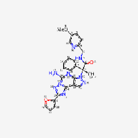 COc1ccc(CNC(=O)[C@@](C)(c2ccccc2)n2ncc3c2nc(N)n2nc(-c4ccco4)nc32)nc1